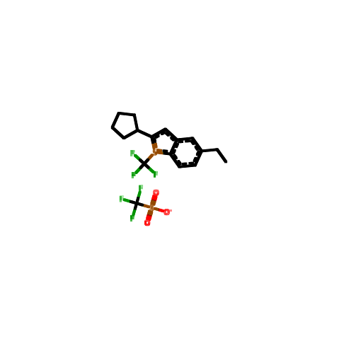 CCc1ccc2c(c1)cc(C1CCCC1)[s+]2C(F)(F)F.O=S(=O)([O-])C(F)(F)F